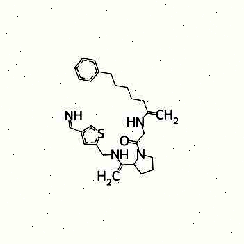 C=C(CCCCCc1ccccc1)NCC(=O)N1CCCC1C(=C)NCc1cc(C=N)cs1